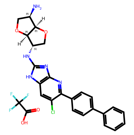 N[C@@H]1CO[C@H]2[C@@H]1OC[C@@H]2Nc1nc2nc(-c3ccc(-c4ccccc4)cc3)c(Cl)cc2[nH]1.O=C(O)C(F)(F)F